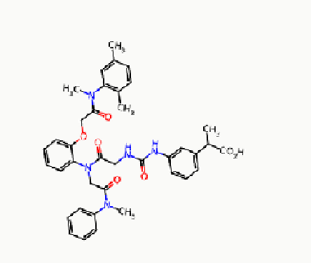 Cc1ccc(C)c(N(C)C(=O)COc2ccccc2N(CC(=O)N(C)c2ccccc2)C(=O)CNC(=O)Nc2cccc(C(C)C(=O)O)c2)c1